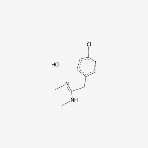 CN=C(Cc1ccc(Cl)cc1)NC.Cl